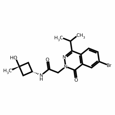 CC(C)c1nn(CC(=O)N[C@H]2C[C@@](C)(O)C2)c(=O)c2cc(Br)ccc12